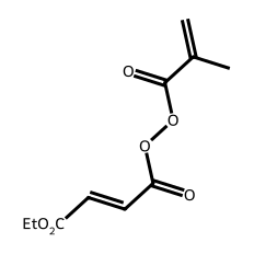 C=C(C)C(=O)OOC(=O)C=CC(=O)OCC